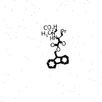 CC(C)C[C@H](NN(C)CC(=O)O)C(=O)C(=O)OCC1c2ccccc2-c2ccccc21